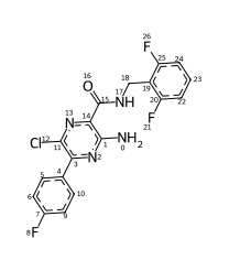 Nc1nc(-c2ccc(F)cc2)c(Cl)nc1C(=O)NCc1c(F)cccc1F